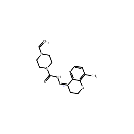 C=CN1CCN(C(=S)N/N=C2/CCOc3c(C)ccnc32)CC1